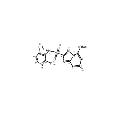 COc1cc(Cl)cc2nc(S(=O)(=O)Nc3c(C)ccnc3F)nn12